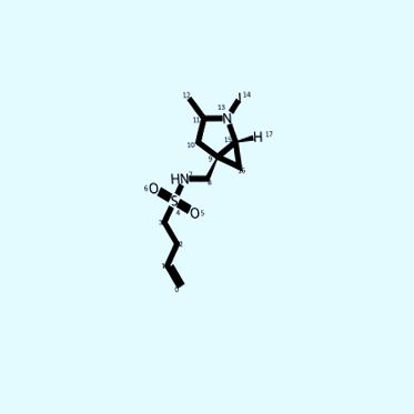 C=CCCS(=O)(=O)NC[C@@]12CC(C)N(I)[C@@H]1C2